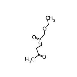 CCOC[PH](=O)CCC(C)=O